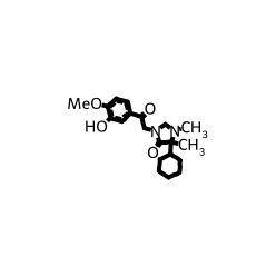 COc1ccc(C(=O)CN2CN(C)C(C)(C3CCCCC3)C2=O)cc1O